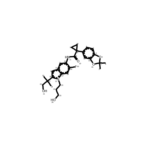 CC1(C)Oc2ccc(C3(C(=O)Nc4cc5cc(C(C)(C)CO)n(CCCO)c5cc4F)CC3)cc2O1